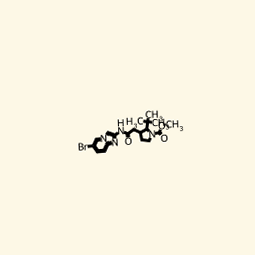 COC(=O)N1CCC(CC(=O)Nc2cn3cc(Br)ccc3n2)C1C(C)(C)C